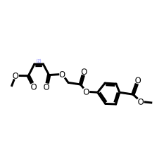 COC(=O)/C=C\C(=O)OCC(=O)Oc1ccc(C(=O)OC)cc1